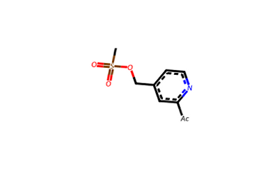 CC(=O)c1cc(COS(C)(=O)=O)ccn1